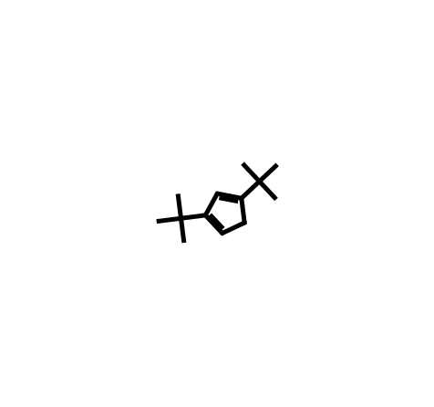 CC(C)(C)C1=CCC(C(C)(C)C)=C1